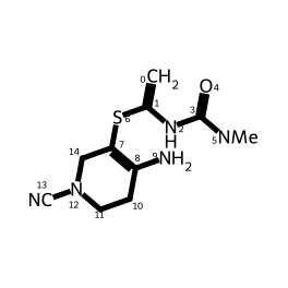 C=C(NC(=O)NC)SC1=C(N)CCN(C#N)C1